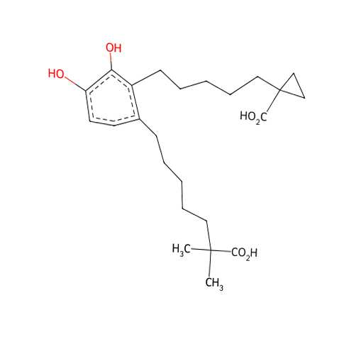 CC(C)(CCCCCc1ccc(O)c(O)c1CCCCCC1(C(=O)O)CC1)C(=O)O